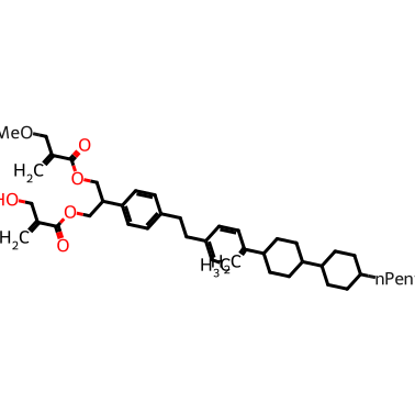 C=C(CO)C(=O)OCC(COC(=O)C(=C)COC)c1ccc(CCC(/C=C\C(=C)C2CCC(C3CCC(CCCCC)CC3)CC2)=C/C)cc1